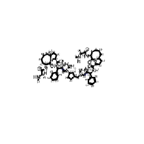 CN[C@@H](C)C(=O)N[C@H]1CCCCC2CC[C@@H](C(=O)NC(/C(N)=C/N(N)CC3CCC(N(N)/C=C(\N)C(NC(=O)[C@@H]4CC[C@@H]5CCCC[C@H](NC(=O)[C@H](C)NC)C(=O)N54)c4ccccc4)C3)c3ccccc3)N2C1=O